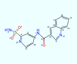 NS(=O)(=O)c1cc(NC(=O)c2cnc3ccccc3c2)ccn1